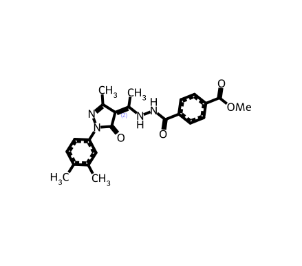 COC(=O)c1ccc(C(=O)NN/C(C)=C2\C(=O)N(c3ccc(C)c(C)c3)N=C2C)cc1